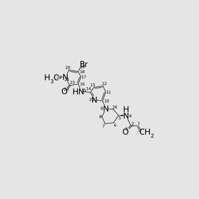 C=CC(=O)N[C@H]1CCCN(c2cccc(Nc3cc(Br)cn(C)c3=O)n2)C1